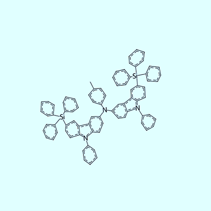 Cc1ccc(N(c2ccc3c(c2)c2cc([Si](c4ccccc4)(c4ccccc4)c4ccccc4)ccc2n3-c2ccccc2)c2ccc3c(c2)c2cc([Si](c4ccccc4)(c4ccccc4)c4ccccc4)ccc2n3-c2ccccc2)cc1